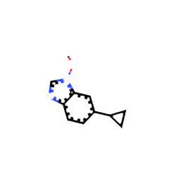 COn1[c]nc2ccc(C3CC3)cc21